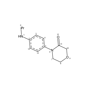 CC(C)Nc1ccc(N2CCOCC2=O)cc1